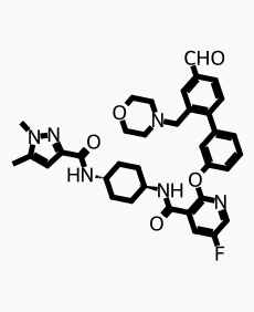 Cc1cc(C(=O)N[C@H]2CC[C@H](NC(=O)c3cc(F)cnc3Oc3cccc(-c4ccc(C=O)cc4CN4CCOCC4)c3)CC2)nn1C